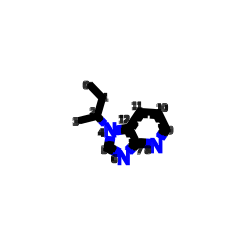 CCC(C)n1cnc2ncccc21